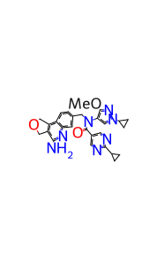 COc1nn(C2CC2)cc1N(Cc1ccc2c3c(c(N)nc2c1)COC3)C(=O)c1cnc(C2CC2)nc1